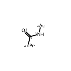 CC[CH]C(=O)NC(C)=O